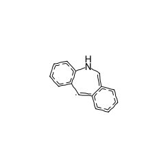 [C]1=c2ccccc2=CNc2ccccc21